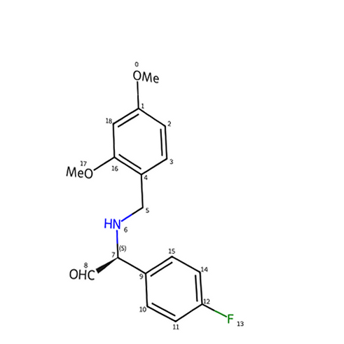 COc1ccc(CN[C@H](C=O)c2ccc(F)cc2)c(OC)c1